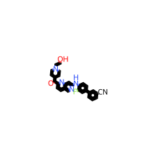 N#Cc1cccc(-c2ccc(Nc3cc4nc(C(=O)C5CCN(CCO)CC5)ccc4cn3)c(F)c2)c1